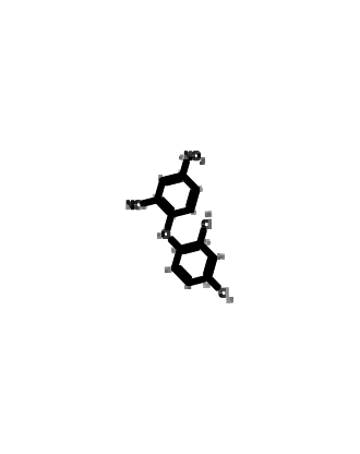 N#Cc1cc([N+](=O)[O-])ccc1Oc1ccc(Cl)cc1Cl